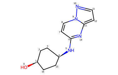 O[C@H]1CC[C@@H](Nc2ccn3nccc3n2)CC1